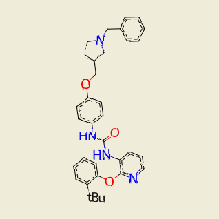 CC(C)(C)c1ccccc1Oc1ncccc1NC(=O)Nc1ccc(OCC2CCN(Cc3ccccc3)C2)cc1